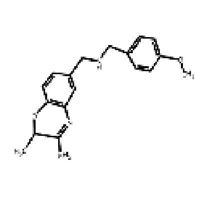 COc1ccc(CNCc2ccc3c(c2)N=C(N)C(C)O3)cc1